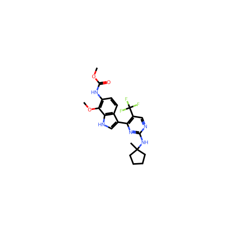 COC(=O)Nc1ccc2c(-c3nc(NC4(C)CCCC4)ncc3C(F)(F)F)c[nH]c2c1OC